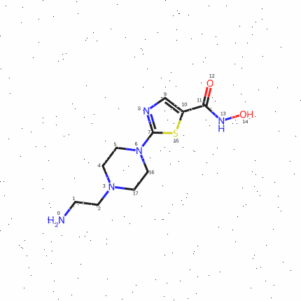 NCCN1CCN(c2ncc(C(=O)NO)s2)CC1